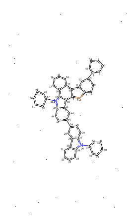 c1ccc(-c2ccc3sc4c(c3c2)c2ccccc2c2c4c3cc(-c4ccc5c(c4)c4ccccc4n5-c4ccccc4)ccc3n2-c2ccccc2)cc1